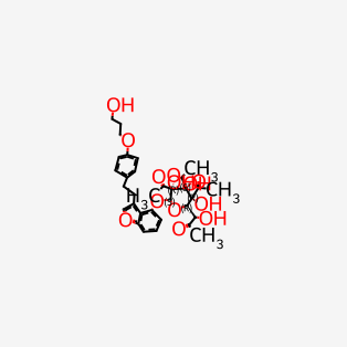 CC(=O)C(O)[C@H]1O[C@@H](Oc2cccc3occ(CCc4ccc(OCCCO)cc4)c23)[C@@](O)(C(C)=O)[C@](O)(C(C)=O)[C@@]1(O)C(C)=O